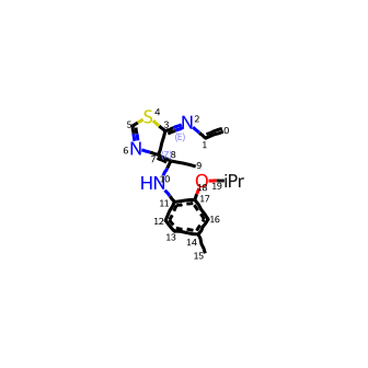 C=C/N=C1/SC=N/C1=C(/C)Nc1ccc(C)cc1OC(C)C